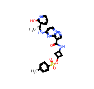 Cc1ccc(S(=O)(=O)OC2CC(NC(=O)c3cnn4ccc(N[C@H](C)c5cccnc5O)nc34)C2)cc1